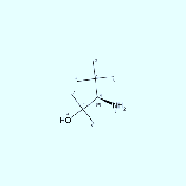 CC(C)(C)[C@@H](N)C(C)(C)O